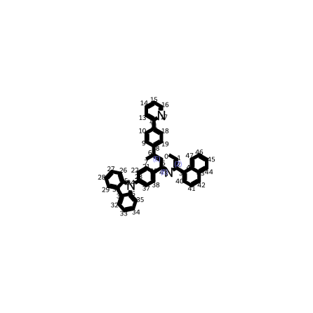 C\C=C(/N=C(\C=C(/C)c1ccc(-c2ccccn2)cc1)c1ccc(-n2c3ccccc3c3ccccc32)cc1)c1cccc2ccccc12